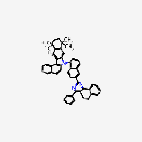 CC1(C)CCC(C)(C)c2cc3c(cc21)c1c2ccccc2ccc1n3-c1cccc2cc(-c3nc(-c4ccccc4)c4c(n3)-c3ccccc3CC4)ccc12